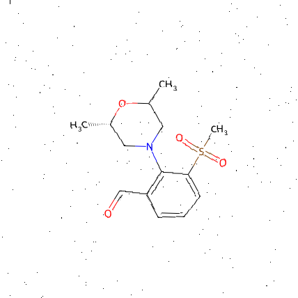 CC1CN(c2c(C=O)cccc2S(C)(=O)=O)C[C@H](C)O1